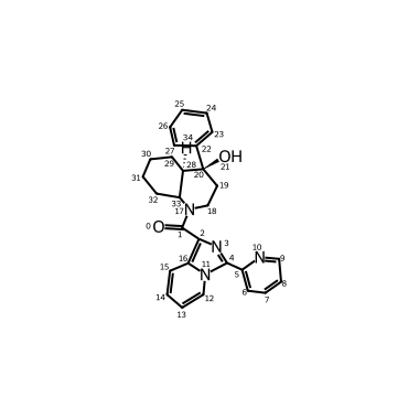 O=C(c1nc(-c2ccccn2)n2ccccc12)N1CC[C@@](O)(c2ccccc2)[C@@H]2CCCCC21